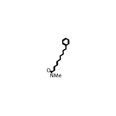 CNC(=O)/C=C/C=C/CCCCCc1ccccc1